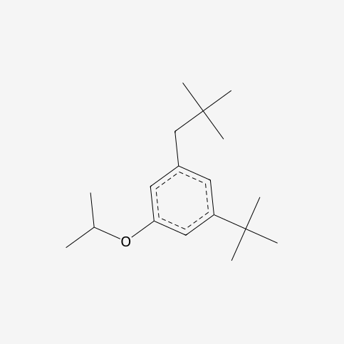 CC(C)Oc1cc(CC(C)(C)C)cc(C(C)(C)C)c1